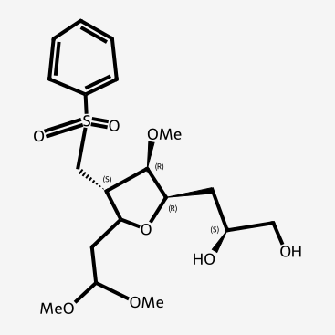 COC(CC1O[C@H](C[C@H](O)CO)[C@H](OC)[C@H]1CS(=O)(=O)c1ccccc1)OC